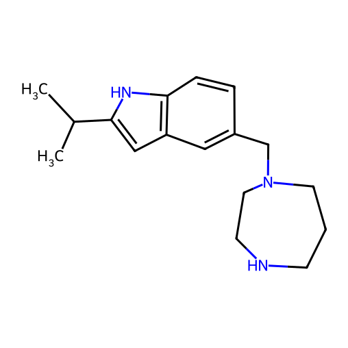 CC(C)c1cc2cc(CN3CCCNCC3)ccc2[nH]1